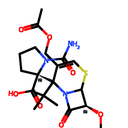 CO[C@H]1C(=O)N2C1SC=C(COC(C)=O)C2(C(C)(C)C)[C@]1(C(=O)O)CCCN1C(N)=O